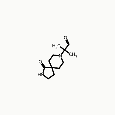 CC(C)(C=O)N1CCC2(CCNC2=O)CC1